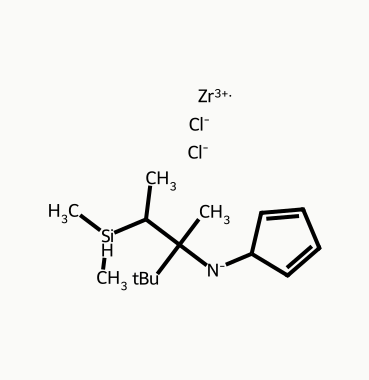 CC([SiH](C)C)C(C)([N-]C1C=CC=C1)C(C)(C)C.[Cl-].[Cl-].[Zr+3]